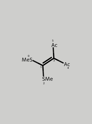 CSC(SC)=C(C(C)=O)C(C)=O